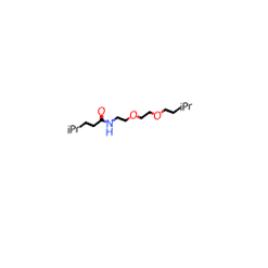 CC(C)CCOCCOCCNC(=O)CCC(C)C